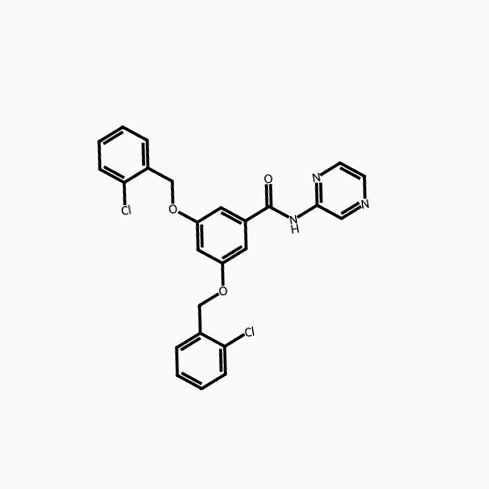 O=C(Nc1cnccn1)c1cc(OCc2ccccc2Cl)cc(OCc2ccccc2Cl)c1